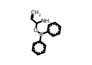 C=CC(N)OB(c1ccccc1)c1ccccc1